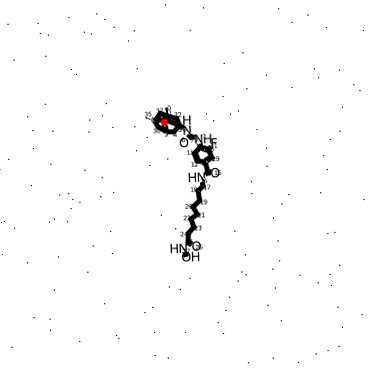 C[C@]12CC3CC(NC(=O)Nc4ccc(C(=O)NCCCCCCCCC(=O)NO)cc4F)(C1)C[C@@](C)(C3)C2